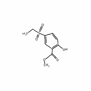 CCS(=O)(=O)c1ccc(O)c(C(=O)OC)c1